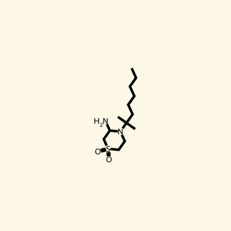 CCCCCCC(C)(C)N1CCS(=O)(=O)CC1N